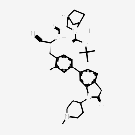 CN1CCC(N2C(=O)Cc3ccc(-c4ccc(C[C@@H](C#N)NC(=O)[C@@H]5[C@H]6CC[C@H](C6)N5C(=O)OC(C)(C)C)c(F)c4)cc32)CC1